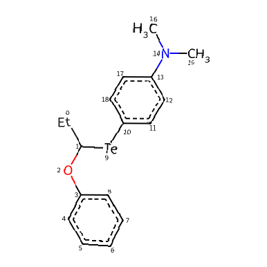 CCC(Oc1ccccc1)[Te]c1ccc(N(C)C)cc1